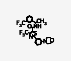 CC(NC(=O)c1sc(-c2cccc(N3CCOCC3)c2)nc1C(F)(F)F)c1cccc(C(F)(F)F)c1